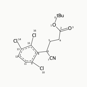 CC(C)(C)OC(=O)CCC(C#N)c1c(Cl)ccc(Cl)c1Cl